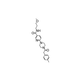 COCCCNC(=O)c1ccc(N2CCN(C(=O)Cc3ccc(C)cc3)CC2)nc1